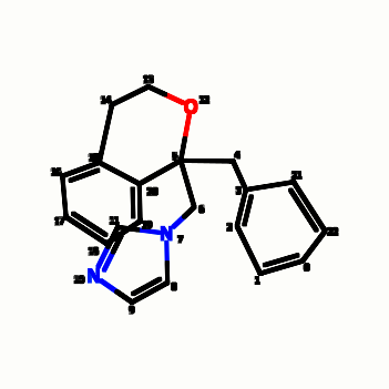 c1ccc(CC2(Cn3ccnc3)OCCc3ccccc32)cc1